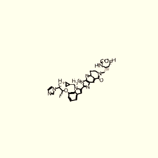 CC(C(F)Oc1cccc2cc(-c3nc4cc5c(nc4n3C)CCN(C[C@@H](CF)NC(=O)O)C5=O)n(CC3CC3)c12)n1ccnc1